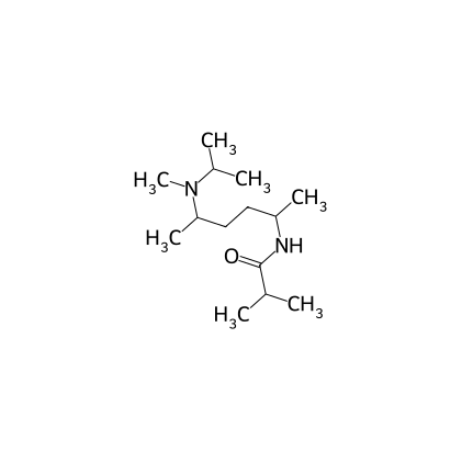 CC(CCC(C)N(C)C(C)C)NC(=O)C(C)C